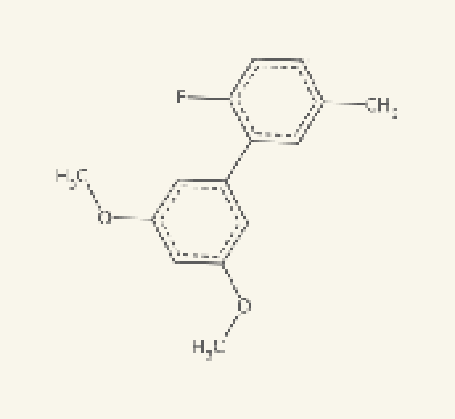 COc1cc(OC)cc(-c2cc(C)[c]cc2F)c1